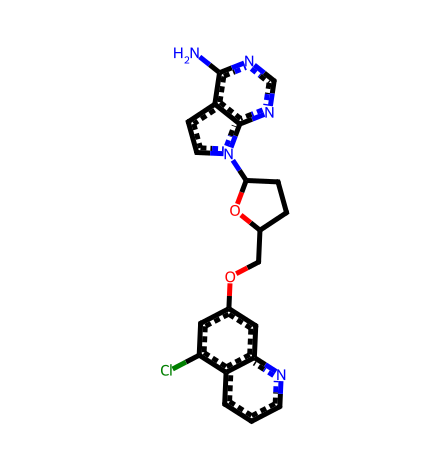 Nc1ncnc2c1ccn2C1CCC(COc2cc(Cl)c3cccnc3c2)O1